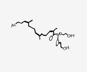 CC(=O)CCC=C(C)CCC=C(C)CCC=C(C)C(=O)N(OCCO)OCCO